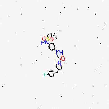 CS(=O)(=O)Nc1ccc(NCC(=O)N2CCC(Cc3ccc(F)cc3)CC2)cc1